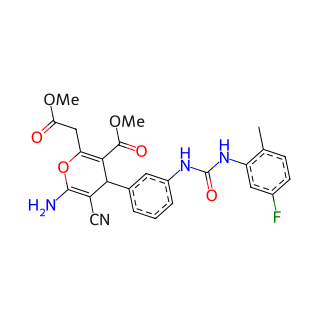 COC(=O)CC1=C(C(=O)OC)C(c2cccc(NC(=O)Nc3cc(F)ccc3C)c2)C(C#N)=C(N)O1